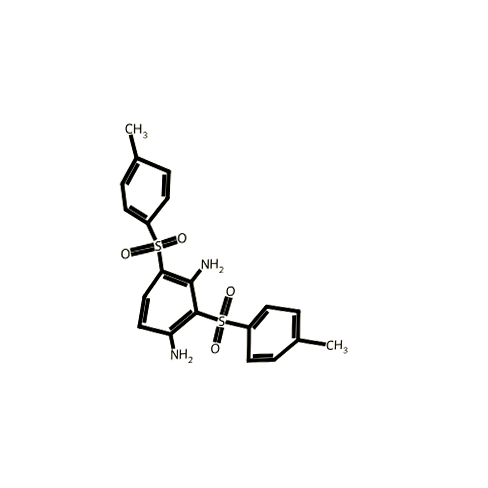 Cc1ccc(S(=O)(=O)c2ccc(N)c(S(=O)(=O)c3ccc(C)cc3)c2N)cc1